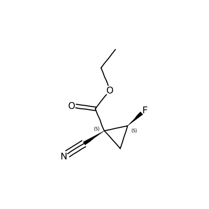 CCOC(=O)[C@@]1(C#N)C[C@@H]1F